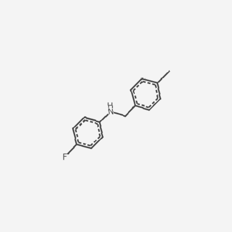 Cc1ccc(CNc2ccc(F)cc2)cc1